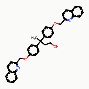 CC(CCO)(c1ccc(OCc2ccc3ccccc3n2)cc1)c1ccc(OCc2ccc3ccccc3n2)cc1